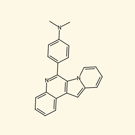 CN(C)c1ccc(-c2nc3ccccc3c3cc4ccccn4c23)cc1